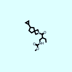 CCC(CNC(=O)OC)C(=O)N1CC2(CCC(C3CC3)C2)C1